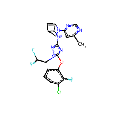 Cc1cc(N2CC3C=C2C3Nc2nc(Oc3cccc(Cl)c3F)n(CC(F)F)n2)ncn1